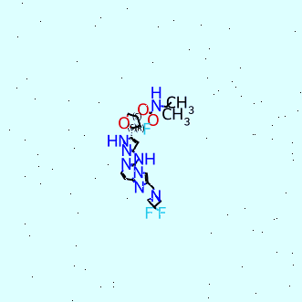 CC(C)NC(=O)O[C@H]1CO[C@@H](c2cc(Nc3nccc4nc(CN5CC(F)(F)C5)cn34)n[nH]2)[C@H]1F